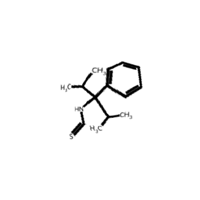 CC(C)C(N[C]=S)(c1ccccc1)C(C)C